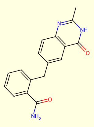 Cc1nc2ccc(Cc3ccccc3C(N)=O)cc2c(=O)[nH]1